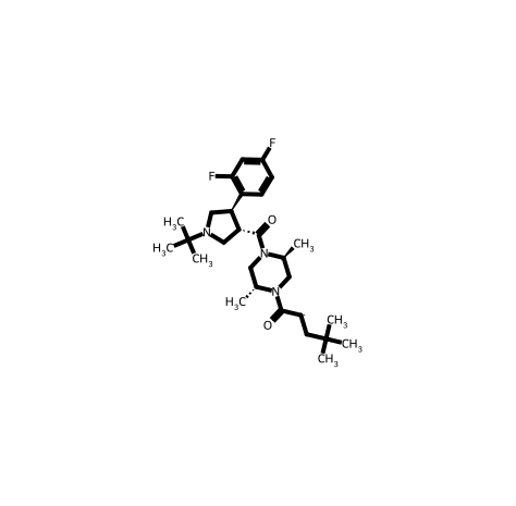 C[C@@H]1CN(C(=O)[C@@H]2CN(C(C)(C)C)C[C@H]2c2ccc(F)cc2F)[C@@H](C)CN1C(=O)[CH]CC(C)(C)C